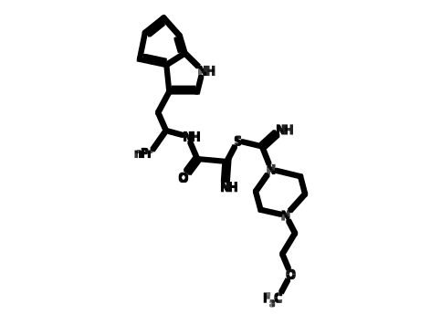 CCCC(Cc1c[nH]c2ccccc12)NC(=O)C(=N)SC(=N)N1CCN(CCOC(F)(F)F)CC1